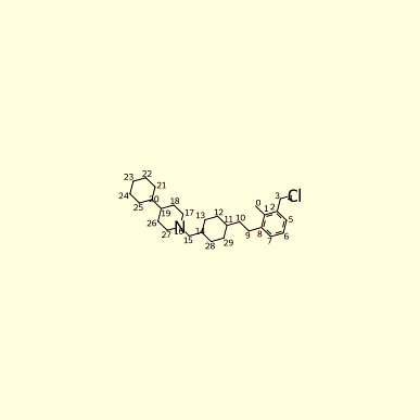 Cc1c(CCl)cccc1CCC1CCC(CN2CCC(C3CCCCC3)CC2)CC1